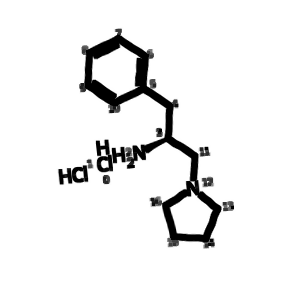 Cl.Cl.N[C@@H](Cc1ccccc1)CN1CCCC1